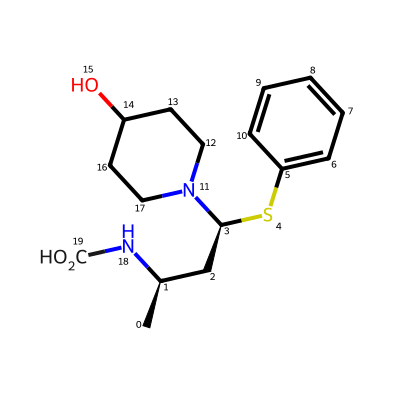 C[C@H](C[C@H](Sc1ccccc1)N1CCC(O)CC1)NC(=O)O